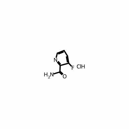 Cl.NC(=O)c1ncccc1F